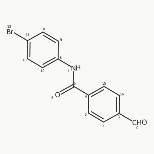 O=Cc1ccc(C(=O)Nc2ccc(Br)cc2)cc1